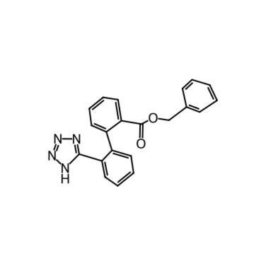 O=C(OCc1ccccc1)c1ccccc1-c1ccccc1-c1nnn[nH]1